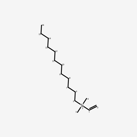 C=C[Si](C)(C)CCCCCCCCCCCC